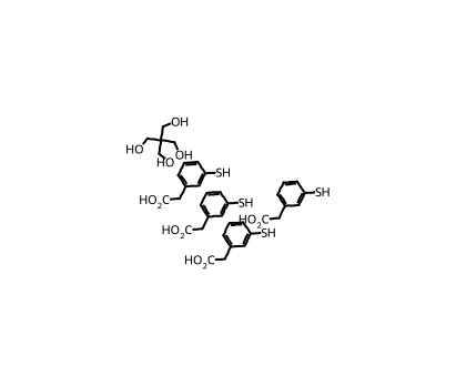 O=C(O)Cc1cccc(S)c1.O=C(O)Cc1cccc(S)c1.O=C(O)Cc1cccc(S)c1.O=C(O)Cc1cccc(S)c1.OCC(CO)(CO)CO